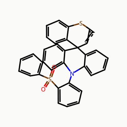 O=S(=O)(c1ccccc1)c1ccccc1N1c2ccccc2C2(c3ccccc3Sc3ccccc32)c2ccccc21